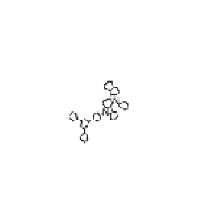 c1ccc(-c2cc(-c3ccccc3)cc(-c3ccc(-n4c5ccccc5c5c4ccc4c6c7ccccc7ccc6n(-c6ccccc6)c45)cc3)c2)cc1